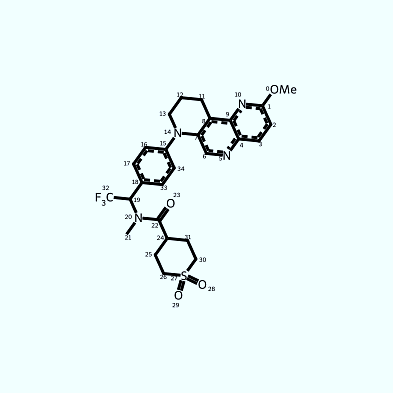 COc1ccc2ncc3c(c2n1)CCCN3c1ccc(C(N(C)C(=O)C2CCS(=O)(=O)CC2)C(F)(F)F)cc1